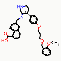 COc1ccccc1COCCCOc1ccc([C@@H]2CCNC[C@@H]2NCc2ccc3c(C(=O)O)cccc3c2)cc1